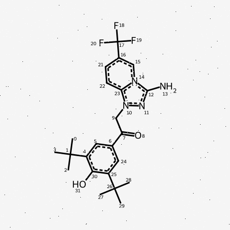 CC(C)(C)c1cc(C(=O)C[n+]2nc(N)n3cc(C(F)(F)F)ccc32)cc(C(C)(C)C)c1O